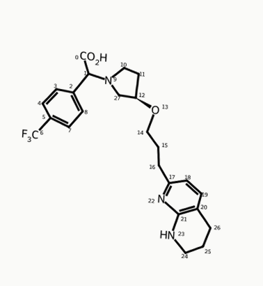 O=C(O)C(c1ccc(C(F)(F)F)cc1)N1CC[C@@H](OCCCc2ccc3c(n2)NCCC3)C1